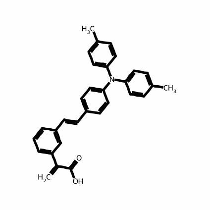 C=C(C(=O)O)c1cccc(C=Cc2ccc(N(c3ccc(C)cc3)c3ccc(C)cc3)cc2)c1